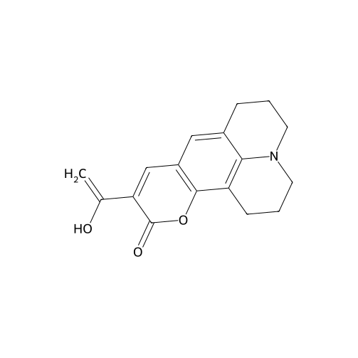 C=C(O)c1cc2cc3c4c(c2oc1=O)CCCN4CCC3